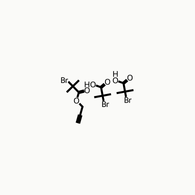 C#CCOC(=O)C(C)(C)Br.CC(C)(Br)C(=O)O.CC(C)(Br)C(=O)O